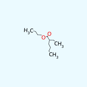 CCCCOC(=O)C(CC)CCCC